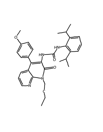 CCCCn1c(=O)c(NC(=O)Nc2c(C(C)C)cccc2C(C)C)c(-c2ccc(OC)cc2)c2cccnc21